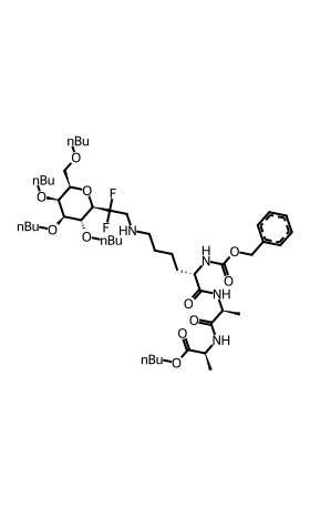 CCCCOC[C@H]1O[C@@H](C(F)(F)CNCCCC[C@H](NC(=O)OCc2ccccc2)C(=O)N[C@@H](C)C(=O)N[C@@H](C)C(=O)OCCCC)[C@H](OCCCC)[C@@H](OCCCC)[C@H]1OCCCC